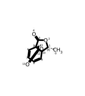 C[C@H]1OC(=O)[C@@]23C=CC=C[C@@]12OC(=O)C3